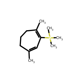 CC1=CC(S(C)(C)C)=C(C)CCC1